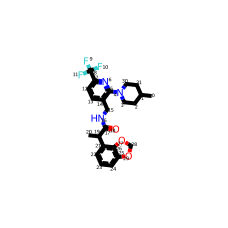 CC1CCN(c2nc(C(F)(F)F)ccc2CNC(=O)C(C)c2cccc3c2OCO3)CC1